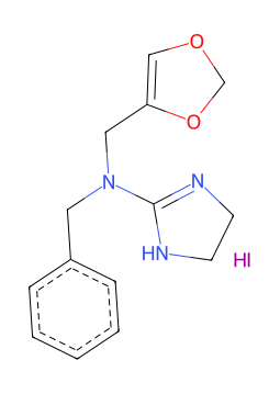 C1=C(CN(Cc2ccccc2)C2=NCCN2)OCO1.I